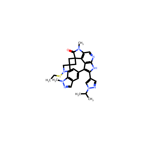 CCSN1CC2(C1)CC1(C2)C(=O)N(C)c2cnc3[nH]c(-c4cnn(C(C)C)c4)c(-c4ccc5c(cnn5C)c4)c3c21